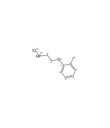 Cc1ccccc1OCCPCl